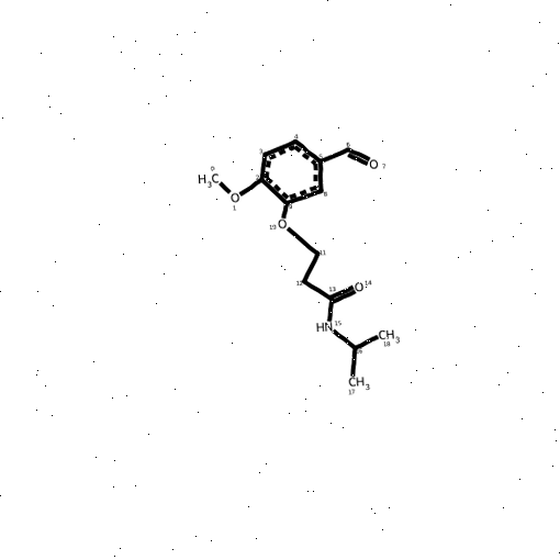 COc1ccc(C=O)cc1OCCC(=O)NC(C)C